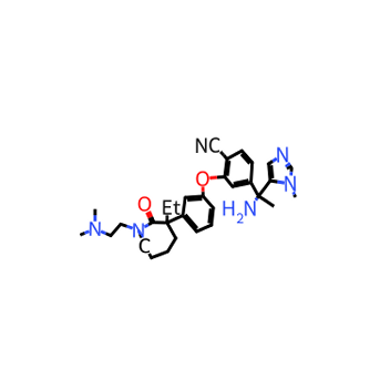 CCC1(c2cccc(Oc3cc(C(C)(N)c4cncn4C)ccc3C#N)c2)CCCCN(CCN(C)C)C1=O